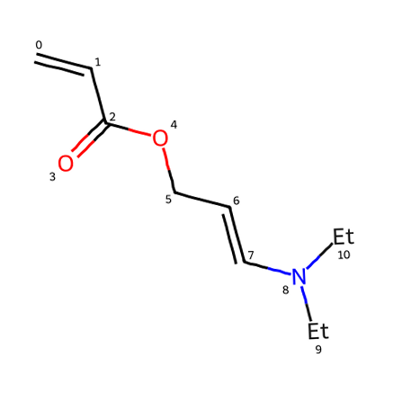 C=CC(=O)OCC=CN(CC)CC